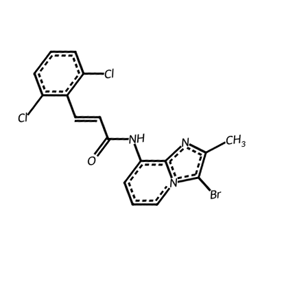 Cc1nc2c(NC(=O)C=Cc3c(Cl)cccc3Cl)cccn2c1Br